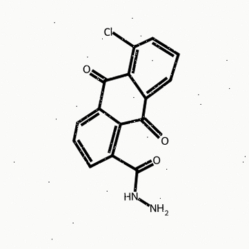 NNC(=O)c1cccc2c1C(=O)c1cccc(Cl)c1C2=O